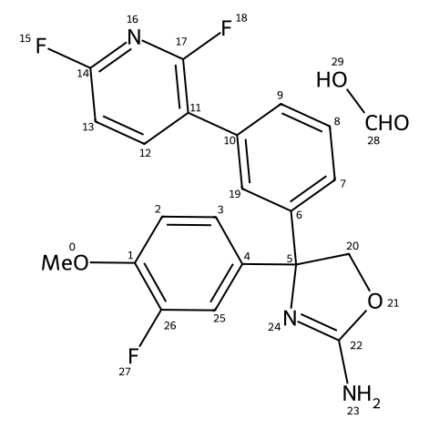 COc1ccc(C2(c3cccc(-c4ccc(F)nc4F)c3)COC(N)=N2)cc1F.O=CO